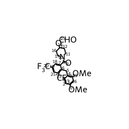 COc1ccc(Cc2c(C(=O)N3CCC(OC=O)CC3)cc(C(F)(F)F)cc2C(F)(F)F)c(OC)c1